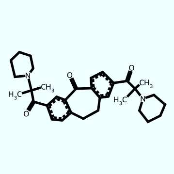 CC(C)(C(=O)c1ccc2c(c1)CCc1ccc(C(=O)C(C)(C)N3CCCCC3)cc1C2=O)N1CCCCC1